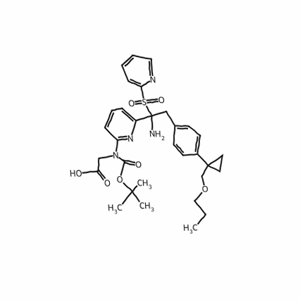 CCCOCC1(c2ccc(CC(N)(c3cccc(N(CC(=O)O)C(=O)OC(C)(C)C)n3)S(=O)(=O)c3ccccn3)cc2)CC1